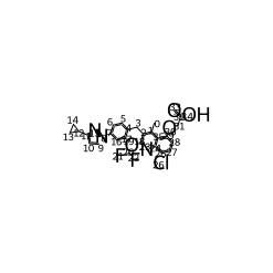 Cc1c(Cc2ccc(-n3ccc(C4CC4)n3)cc2)c(OC(F)F)nc2c(Cl)ccc(OCC(=O)O)c12